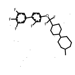 CC1CCCC(C2CCC(C(F)(F)Oc3ccc(-c4cc(F)c(F)c(F)c4)c(F)c3)CC2)CC1